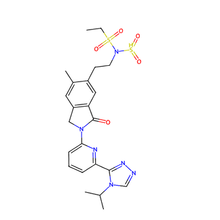 CCS(=O)(=O)N(CCc1cc2c(cc1C)CN(c1cccc(-c3nncn3C(C)C)n1)C2=O)[SH](=O)=O